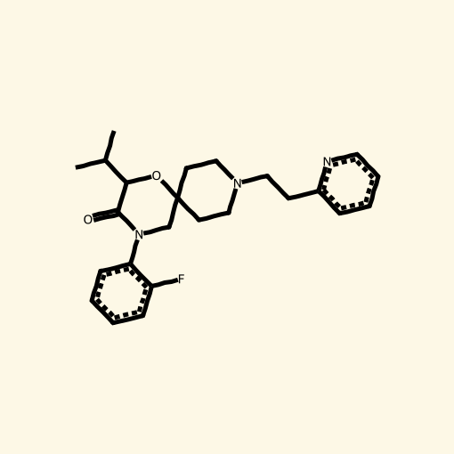 CC(C)C1OC2(CCN(CCc3ccccn3)CC2)CN(c2ccccc2F)C1=O